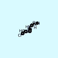 CN1CCC(NC(=O)c2ccc(Nc3nc4c(N5CCC(O)(c6ccc(Cl)cc6)CC5)cccn4n3)cc2)C1